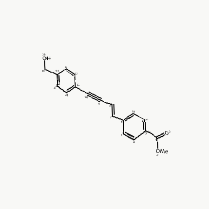 COC(=O)c1ccc(/C=C/C#Cc2ccc(CO)cc2)cc1